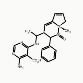 CC(Nc1ncnc(N)c1C(=O)O)N1C=C2C=CC[N@+]2(C)[N+](=O)C1c1ccccc1